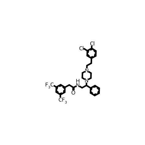 O=C(Cc1cc(C(F)(F)F)cc(C(F)(F)F)c1)NCC(c1ccccc1)N1CCN(CCc2ccc(Cl)c(Cl)c2)CC1